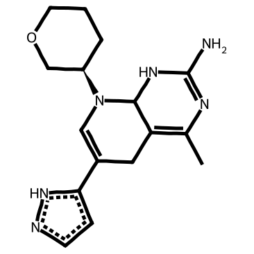 CC1=C2CC(c3ccn[nH]3)=CN([C@@H]3CCCOC3)C2NC(N)=N1